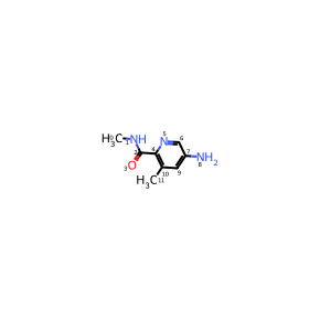 CNC(=O)c1ncc(N)cc1C